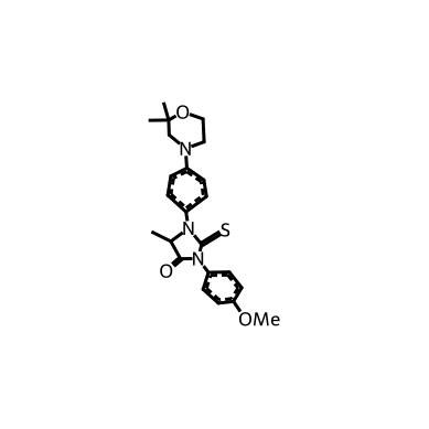 COc1ccc(N2C(=O)C(C)N(c3ccc(N4CCOC(C)(C)C4)cc3)C2=S)cc1